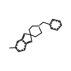 Cc1ccc2c(c1)=CC1(C=2)CCN(Cc2ccccc2)CC1